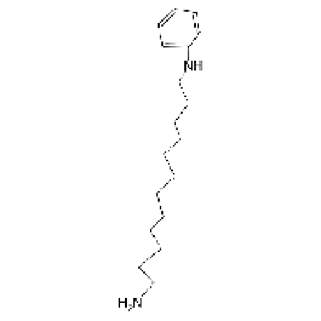 NCCCCCCCCCCCCNc1ccccc1